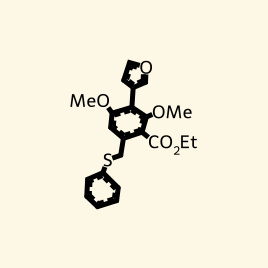 CCOC(=O)c1c(CSc2ccccc2)cc(OC)c(-c2ccoc2)c1OC